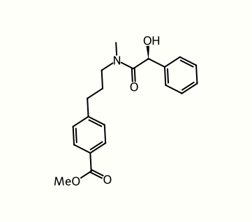 COC(=O)c1ccc(CCCN(C)C(=O)[C@@H](O)c2ccccc2)cc1